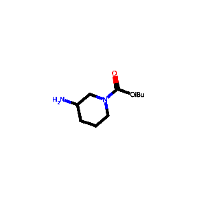 CC(C)COC(=O)N1CCCC(N)C1